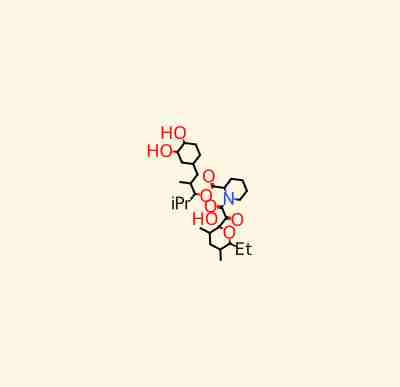 CCC1OC(O)(C(=O)C(=O)N2CCCCC2C(=O)OC(C(C)C)C(C)CC2CCC(O)C(O)C2)C(C)CC1C